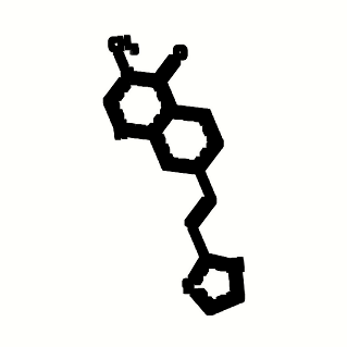 Cn1cnc2cc(C=Cc3nccs3)ccc2c1=O